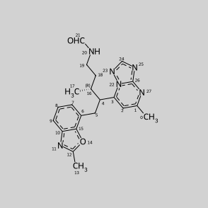 Cc1cc(C(Cc2cccc3nc(C)oc23)[C@H](C)CCNC=O)n2ncnc2n1